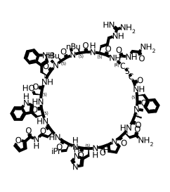 CCCC[C@H]1C(=O)N(C)[C@@H](CCCC)C(=O)N[C@@H](CCCNC(=N)N)C(=O)N[C@H](C(=O)NCC(N)=O)CSCC(=O)N[C@@H](Cc2ccccc2)C(=O)N(C)[C@@H](C)C(=O)N[C@@H](CC(N)=O)C(=O)N2CCC[C@H]2C(=O)N[C@@H](Cc2cnc[nH]2)C(=O)N[C@@H](CC(C)C)C(=O)N[C@@H](CCNC(=O)c2ccco2)C(=O)N[C@@H](Cc2c[nH]c3ccccc23)C(=O)N[C@@H](CO)C(=O)N[C@@H](Cc2c[nH]c3ccccc23)C(=O)N1C